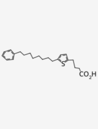 O=C(O)CCCc1ccc(CCCCCCCCc2ccccc2)s1